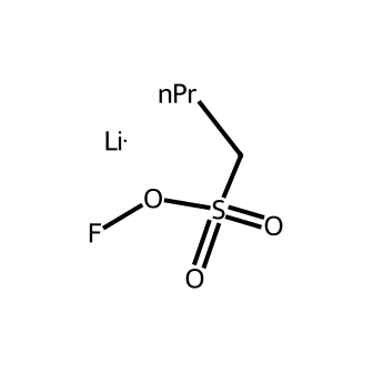 CCCCS(=O)(=O)OF.[Li]